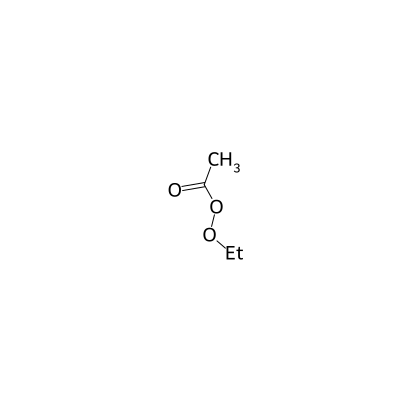 CCOOC(C)=O